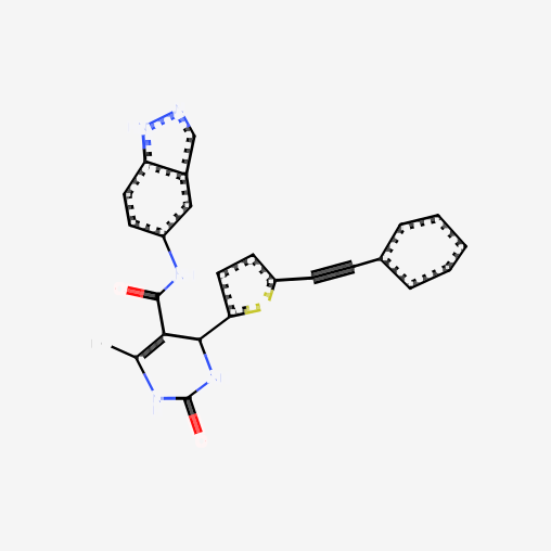 CC1=C(C(=O)Nc2ccc3[nH]ncc3c2)C(c2ccc(C#Cc3ccccc3)s2)NC(=O)N1